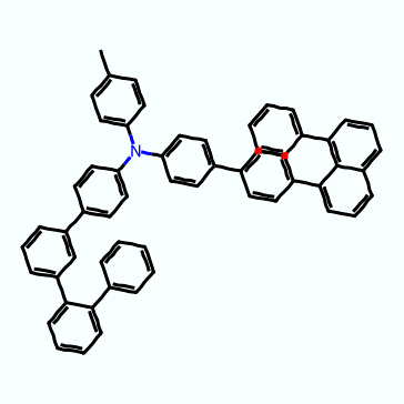 Cc1ccc(N(c2ccc(-c3ccc(-c4cccc5cccc(-c6ccccc6)c45)cc3)cc2)c2ccc(-c3cccc(-c4ccccc4-c4ccccc4)c3)cc2)cc1